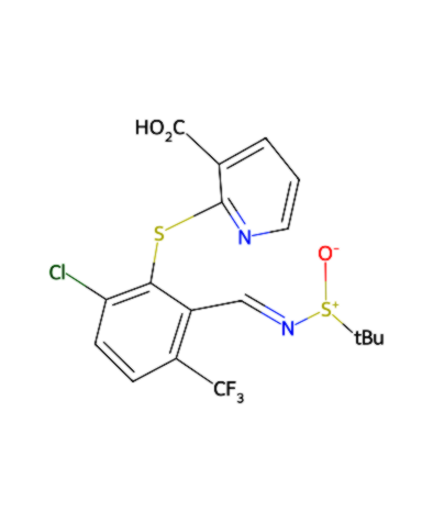 CC(C)(C)[S+]([O-])N=Cc1c(C(F)(F)F)ccc(Cl)c1Sc1ncccc1C(=O)O